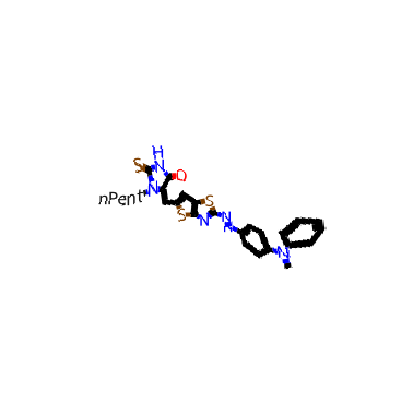 CCCCCN1C(=S)NC(=O)/C1=C\c1cc2sc(/N=N/c3ccc(N(C)c4ccccc4)cc3)nc2s1